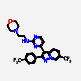 FC(F)(F)c1ccc(-c2nn3cc(C(F)(F)F)ccc3c2-c2ccnc(NCCN3CCOCC3)n2)cc1